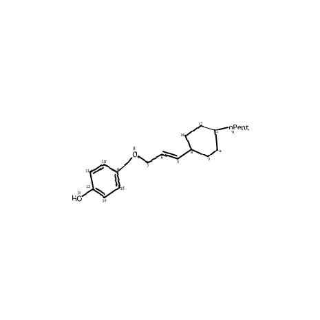 CCCCCC1CCC(C=CCOc2ccc(O)cc2)CC1